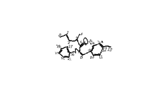 CCCC(C)C(=O)N(Cc1ccc(C)cc1)c1ccccc1